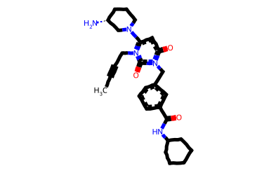 CC#CCn1c(N2CCC[C@@H](N)C2)cc(=O)n(Cc2cccc(C(=O)NC3CCCCC3)c2)c1=O